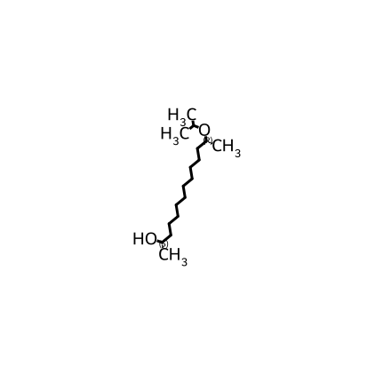 CC(C)O[C@H](C)CCCCCCCCCC[C@H](C)O